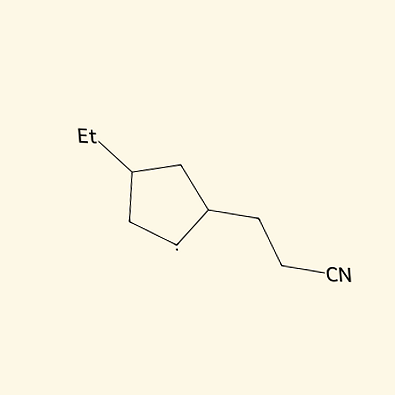 [CH2]CC1C[CH]C(CCC#N)C1